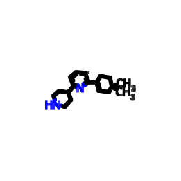 CC1(C)CC=C(c2[c]ccc(C3CCNCC3)n2)CC1